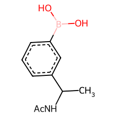 CC(=O)NC(C)c1cccc(B(O)O)c1